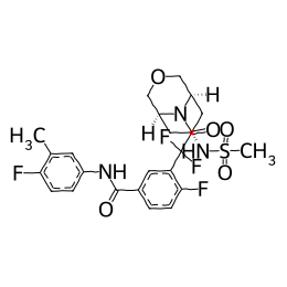 Cc1cc(NC(=O)c2ccc(F)c(C(F)(F)C(=O)N3[C@@H]4COC[C@H]3C[C@H](NS(C)(=O)=O)C4)c2)ccc1F